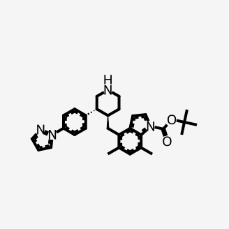 Cc1cc(C)c2c(ccn2C(=O)OC(C)(C)C)c1C[C@@H]1CCNC[C@H]1c1ccc(-n2cccn2)cc1